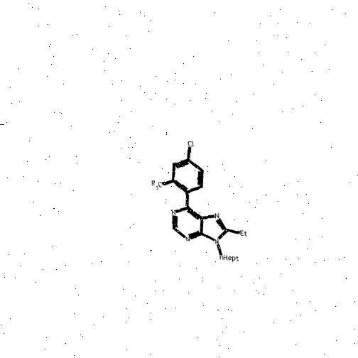 CCCCCCCn1c(CC)nc2c(-c3ccc(Cl)cc3C(F)(F)F)ncnc21